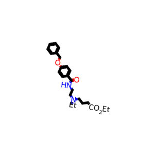 CCOC(=O)CCCN(CC)CCNC(=O)c1ccc(OCc2ccccc2)cc1